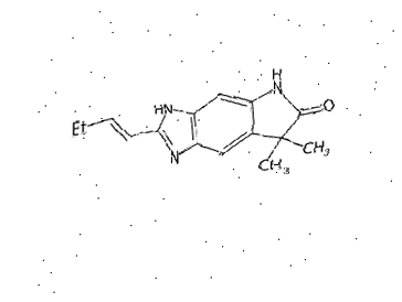 CCC=Cc1nc2cc3c(cc2[nH]1)NC(=O)C3(C)C